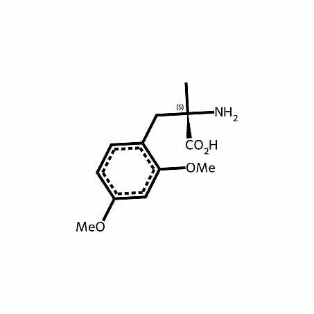 COc1ccc(C[C@](C)(N)C(=O)O)c(OC)c1